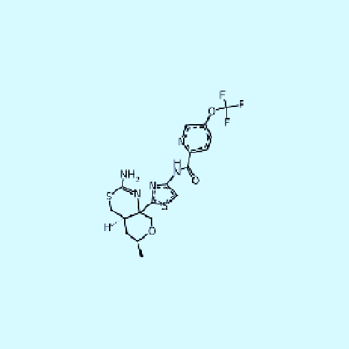 C[C@H]1C[C@H]2CSC(N)=NC2(c2nc(NC(=O)c3ccc(OC(F)(F)F)cn3)cs2)CO1